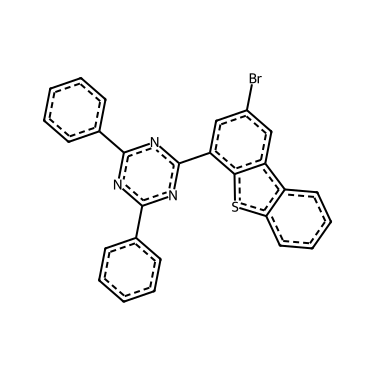 Brc1cc(-c2nc(-c3ccccc3)nc(-c3ccccc3)n2)c2sc3ccccc3c2c1